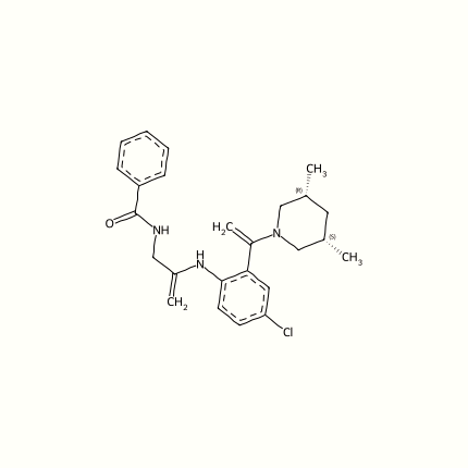 C=C(CNC(=O)c1ccccc1)Nc1ccc(Cl)cc1C(=C)N1C[C@H](C)C[C@H](C)C1